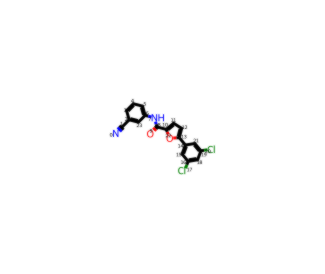 N#Cc1cccc(NC(=O)c2ccc(-c3cc(Cl)cc(Cl)c3)o2)c1